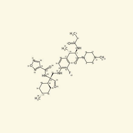 CCC(=O)N[C@@H](C(=O)N1CCN(C)CC1)[C@@H](C)c1ccc(NC[C@](C=O)(NC(=O)c2cnon2)[C@H]2CC[C@H](C)CC2)c(F)c1